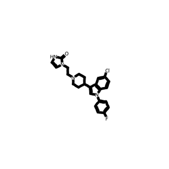 O=c1[nH]ccn1CCN1CCC(c2cn(-c3ccc(F)cc3)c3ccc(Cl)cc23)CC1